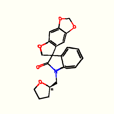 O=C1N(C[C@H]2CCCO2)c2ccccc2C12COc1cc3c(cc12)OCO3